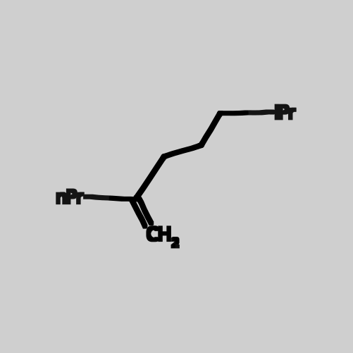 C=C(CCC)CCCC(C)C